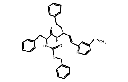 COc1ccnc(/C=C/[C@H](CCc2ccccc2)NC(=O)[C@H](Cc2ccccc2)NC(=O)OCc2ccccc2)c1